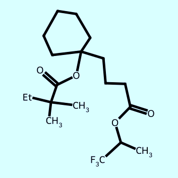 CCC(C)(C)C(=O)OC1(CCCC(=O)OC(C)C(F)(F)F)CCCCC1